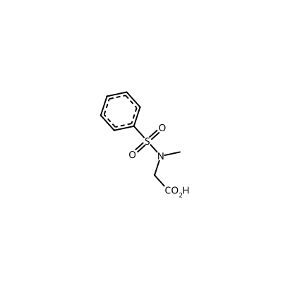 CN(CC(=O)O)S(=O)(=O)c1ccccc1